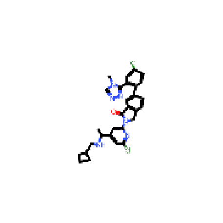 CC(NCC1CCC1)c1cc(Cl)nc(N2Cc3ccc(-c4ccc(Cl)cc4-c4nncn4C)cc3C2=O)c1